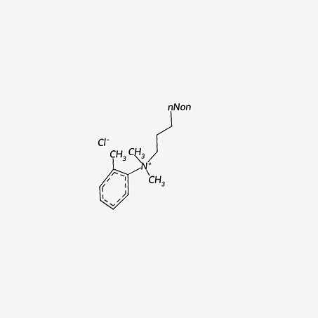 CCCCCCCCCCCC[N+](C)(C)c1ccccc1C.[Cl-]